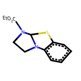 CCOC(=O)N1CCN2c3ccccc3SC12